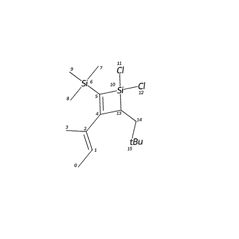 CC=C(C)C1=C([Si](C)(C)C)[Si](Cl)(Cl)C1CC(C)(C)C